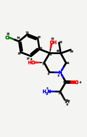 CC(C)C(N)C(=O)N1C[C@H](O)[C@@](O)(c2ccc(Cl)cc2)C(C)(C)C1